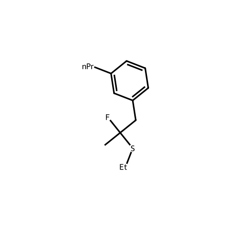 CCCc1cccc(CC(C)(F)SCC)c1